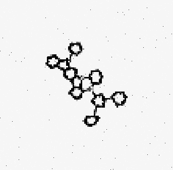 c1ccc(-c2cc(-c3ccccc3)cc(N3c4ccccc4-n4c5cc6c(cc5c5cccc3c54)c3ccccc3n6-c3ccccc3)c2)cc1